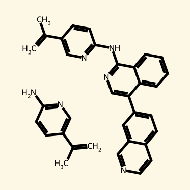 C=C(C)c1ccc(N)nc1.C=C(C)c1ccc(Nc2ncc(-c3ccc4ccncc4c3)c3ccccc23)nc1